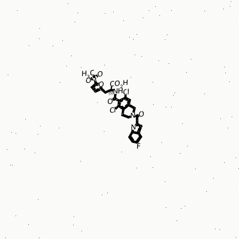 CS(=O)(=O)c1ccc(C[C@H](NC(=O)c2c(Cl)cc3c(c2Cl)CCN(C(=O)C2=NC4C=CC(F)=CC4=C2)C3)C(=O)O)o1